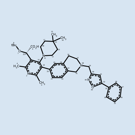 Cc1nc(C)c([C@H](OC(C)(C)C)C(=O)O)c(N2CCC(C)(C)CC2)c1-c1ccc2c(c1)CCN(Cc1cc(-c3ccccc3)on1)C2